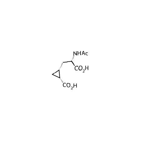 CC(=O)N[C@@H](C[C@H]1C[C@H]1C(=O)O)C(=O)O